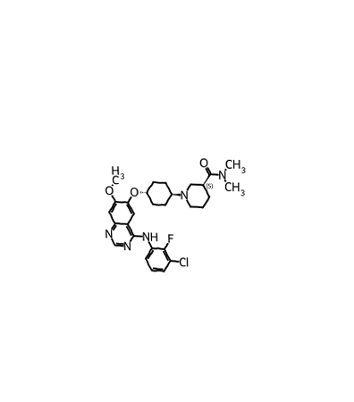 COc1cc2ncnc(Nc3cccc(Cl)c3F)c2cc1O[C@H]1CC[C@H](N2CCC[C@H](C(=O)N(C)C)C2)CC1